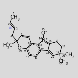 C/C=C/CC1(C)C=Cc2c(ccc3c2[N+]([O-])=C2CCC(C)(C)C=C23)O1